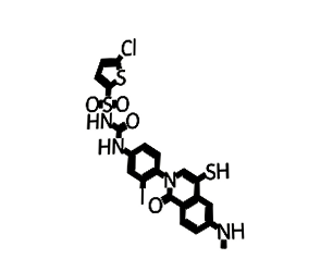 CNc1ccc2c(=O)n(-c3ccc(NC(=O)NS(=O)(=O)c4ccc(Cl)s4)cc3I)cc(S)c2c1